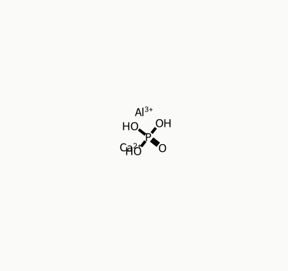 O=P(O)(O)O.[Al+3].[Ca+2]